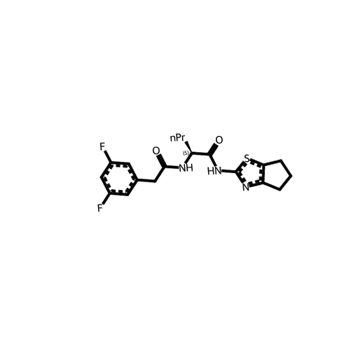 CCC[C@H](NC(=O)Cc1cc(F)cc(F)c1)C(=O)Nc1nc2c(s1)CCC2